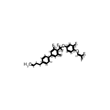 C=CCCc1ccc(-c2cc(F)c(C(F)(F)Oc3ccc(OC=C(F)F)c(F)c3)c(F)c2)cc1